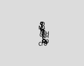 CN(Cc1csc(NC(=O)NCc2cc(Cl)c3c(c2)OCO3)n1)C(=O)C1CCCO1